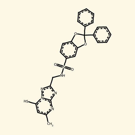 Cc1cc(S)n2nc(CNS(=O)(=O)c3ccc4c(c3)OC(c3ccccc3)(c3ccccc3)O4)nc2n1